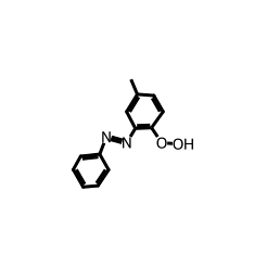 Cc1ccc(OO)c(N=Nc2ccccc2)c1